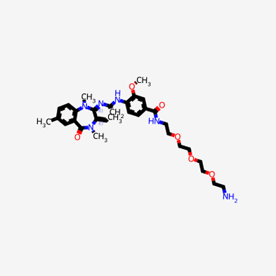 C=C(/N=C1\C(=C/C)N(C)C(=O)c2cc(C)ccc2N1C)Nc1ccc(C(=O)NCCOCCOCCOCCN)cc1OC